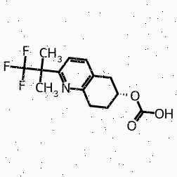 CC(C)(c1ccc2c(n1)CC[C@@H](OC(=O)O)C2)C(F)(F)F